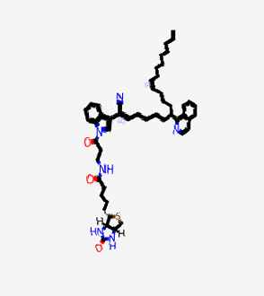 CCCCCCCC/C=C\CCCC(CCCC/C=C(\C#N)c1cn(C(=O)CCNC(=O)CCCC[C@@H]2SC[C@@H]3NC(=O)N[C@@H]32)c2ccccc12)c1nccc2ccccc12